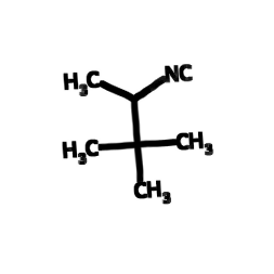 [C-]#[N+]C(C)C(C)(C)C